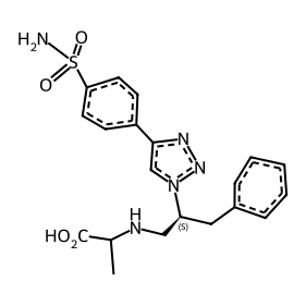 CC(NC[C@H](Cc1ccccc1)n1cc(-c2ccc(S(N)(=O)=O)cc2)nn1)C(=O)O